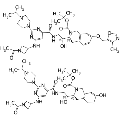 CC(=O)N1CC(Nc2cc(C(=O)NC[C@@H](O)[C@@H]3Cc4ccc(O)cc4CN3C(=O)OC(C)(C)C)nc(N3CCN(C(C)C)CC3)n2)C1.CC(=O)N1CC(Nc2cc(C(=O)NC[C@@H](O)[C@@H]3Cc4ccc(OCc5ocnc5C)cc4CN3C(=O)OC(C)(C)C)nc(N3CCN(C(C)C)CC3)n2)C1